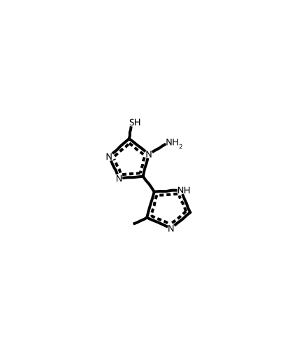 Cc1nc[nH]c1-c1nnc(S)n1N